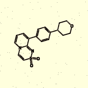 O=S1(=O)C=CN2C=CC=C(c3ccc(C4CCOCC4)cc3)C2=N1